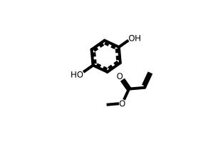 C=CC(=O)OC.Oc1ccc(O)cc1